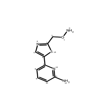 NOCc1ncc(-c2cccc(N)n2)s1